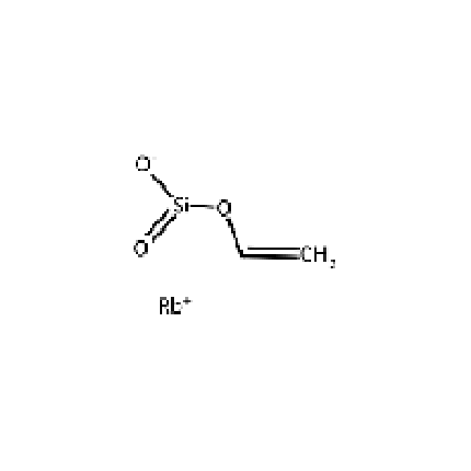 C=CO[Si](=O)[O-].[Rb+]